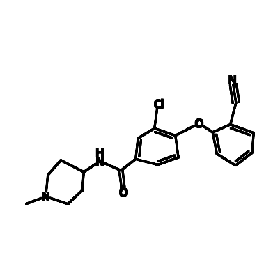 CN1CCC(NC(=O)c2ccc(Oc3ccccc3C#N)c(Cl)c2)CC1